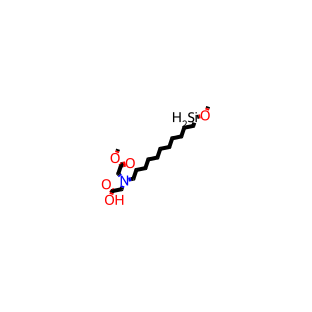 CO[SiH2]CCCCCCCCCCCN(CC(=O)O)CC(=O)OC